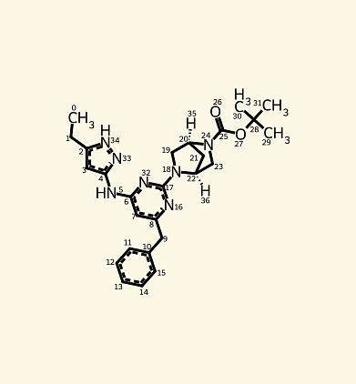 CCc1cc(Nc2cc(Cc3ccccc3)nc(N3C[C@@H]4C[C@H]3CN4C(=O)OC(C)(C)C)n2)n[nH]1